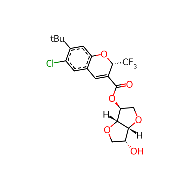 CC(C)(C)c1cc2c(cc1Cl)C=C(C(=O)O[C@H]1CO[C@H]3[C@@H]1OC[C@H]3O)[C@@H](C(F)(F)F)O2